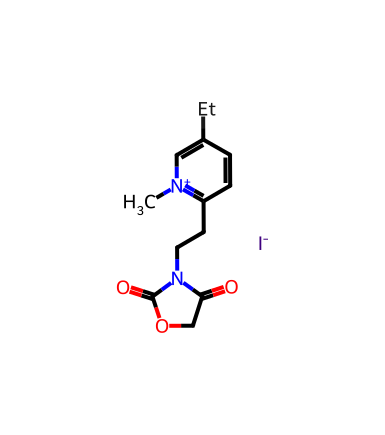 CCc1ccc(CCN2C(=O)COC2=O)[n+](C)c1.[I-]